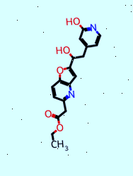 CCOC(=O)Cc1ccc2oc(C(O)Cc3ccnc(O)c3)cc2n1